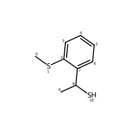 CSc1ccccc1C(C)S